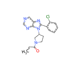 C=CC(=O)N1CCC(n2c(-c3ccccc3Cl)nc3cncnc32)C1